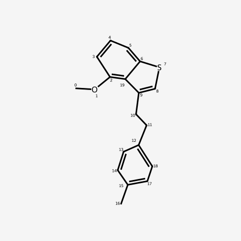 COc1cccc2scc(CCc3ccc(C)cc3)c12